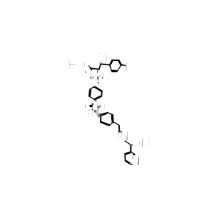 Cc1nn(-c2ccc(S(=O)(=O)Nc3ccc(CCNCC(O)c4cccnc4)cc3)cc2)nc1C(O)c1ccc(F)cc1